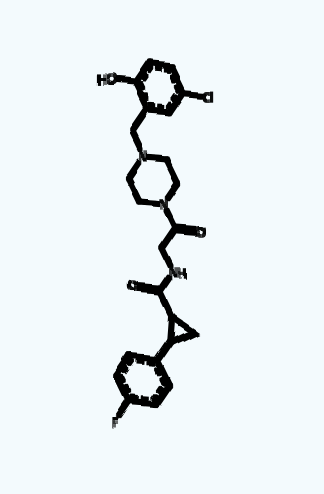 O=C(NCC(=O)N1CCN(Cc2cc(Cl)ccc2O)CC1)C1CC1c1ccc(F)cc1